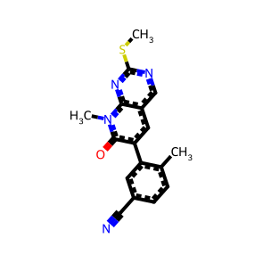 CSc1ncc2cc(-c3cc(C#N)ccc3C)c(=O)n(C)c2n1